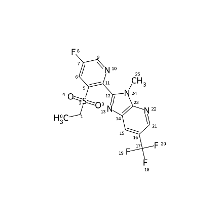 CCS(=O)(=O)c1cc(F)cnc1-c1nc2cc(C(F)(F)F)cnc2n1C